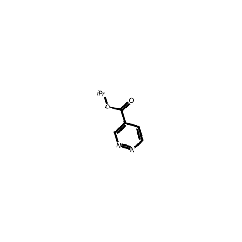 CC(C)OC(=O)c1ccnnc1